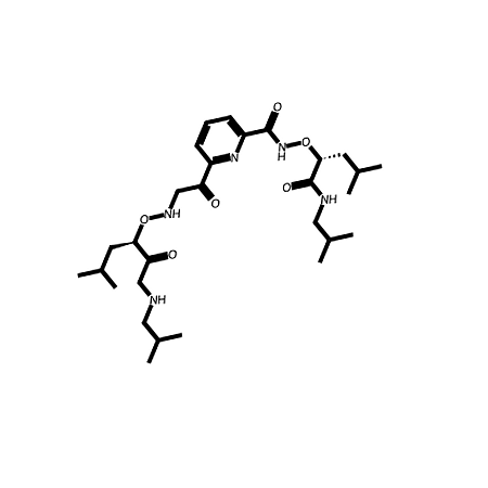 CC(C)CNCC(=O)[C@@H](CC(C)C)ONCC(=O)c1cccc(C(=O)NO[C@H](CC(C)C)C(=O)NCC(C)C)n1